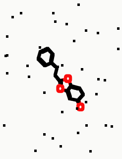 O=C1C=C2OC(CCc3ccccc3)OC2=CC1